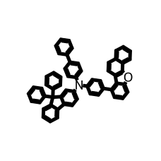 c1ccc(-c2ccc(N(c3ccc(-c4cccc5oc6c7ccccc7ccc6c45)cc3)c3ccc4c(c3)C(c3ccccc3)(c3ccccc3)c3ccccc3-4)cc2)cc1